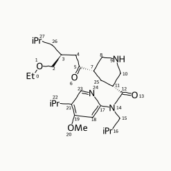 CCOC[C@H](CC(=O)[C@@H]1CNC[C@H](C(=O)N(CC(C)C)c2cc(OC)c(C(C)C)cn2)C1)CC(C)C